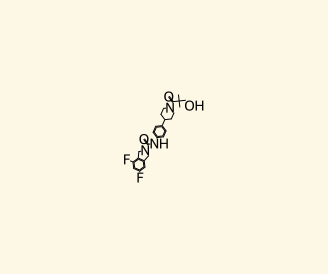 CC(C)(CO)C(=O)N1CCC(c2ccc(NC(=O)N3Cc4cc(F)cc(F)c4C3)cc2)CC1